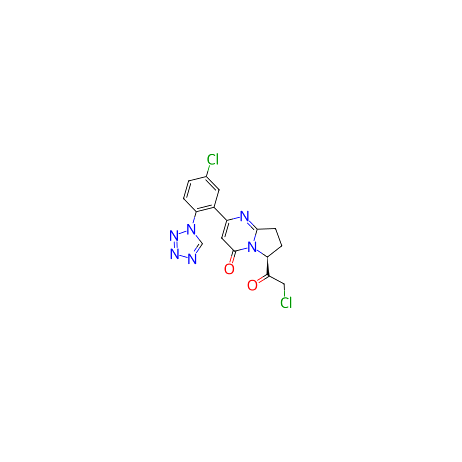 O=C(CCl)[C@@H]1CCc2nc(-c3cc(Cl)ccc3-n3cnnn3)cc(=O)n21